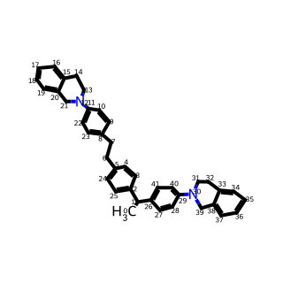 CC(c1ccc(CCc2ccc(N3CCc4ccccc4C3)cc2)cc1)c1ccc(N2CCc3ccccc3C2)cc1